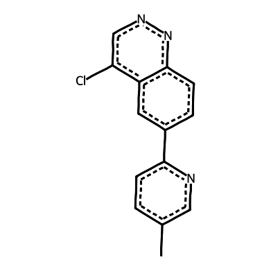 Cc1ccc(-c2ccc3nncc(Cl)c3c2)nc1